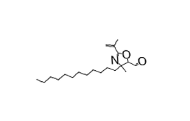 C=C(C)C1=NC(C)(CCCCCCCCCCCC)C(C=O)O1